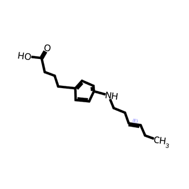 CC/C=C/CCNc1ccc(CCCC(=O)O)cc1